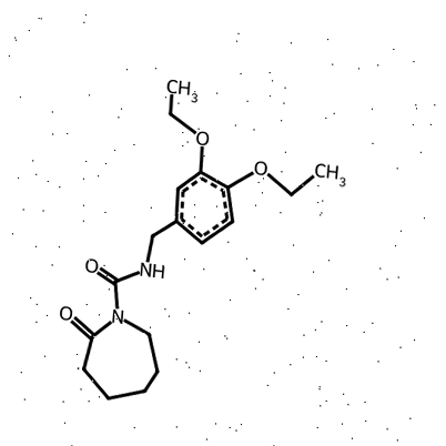 CCOc1ccc(CNC(=O)N2CCCC[CH]C2=O)cc1OCC